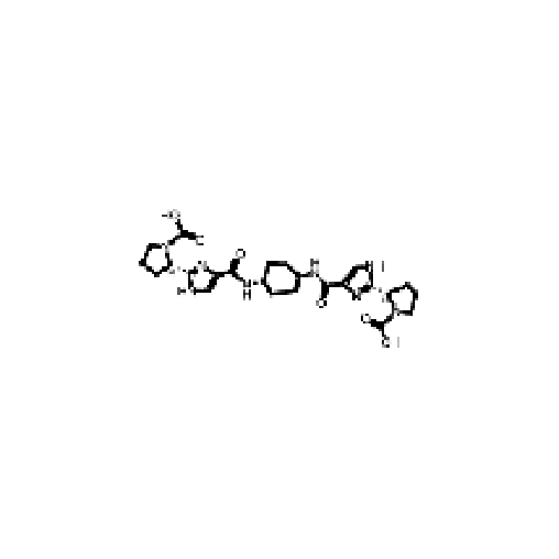 O=C(N[C@H]1CC[C@H](NC(=O)c2c[nH]c([C@@H]3CCCN3C(=O)O)n2)CC1)c1c[nH]c([C@@H]2CCCN2C(=O)O)n1